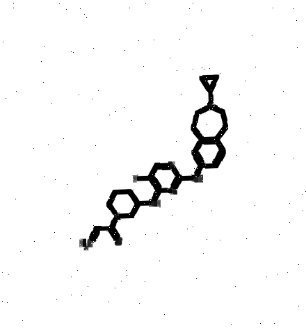 C=CC(=O)N1CCCC(Nc2nc(Nc3ccc4c(c3)CCN(C3CC3)CC4)ncc2F)C1